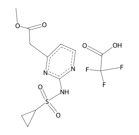 COC(=O)Cc1ccnc(NS(=O)(=O)C2CC2)n1.O=C(O)C(F)(F)F